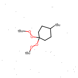 CC(C)(C)OOC1(OOC(C)(C)C)CCC(C(C)(C)C)CC1